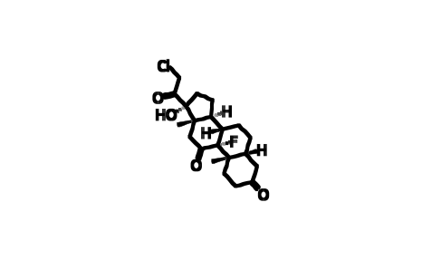 C[C@]12CCC(=O)C[C@H]1CC[C@H]1[C@@H]3CC[C@](O)(C(=O)CCl)[C@@]3(C)CC(=O)[C@@]12F